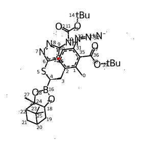 Cc1c(C[C@H](Sc2nnc(NC(=O)OC(C)(C)C)s2)B2OC3CC4CC(C4(C)C)[C@]3(C)O2)ccc(N=[N+]=[N-])c1C(=O)OC(C)(C)C